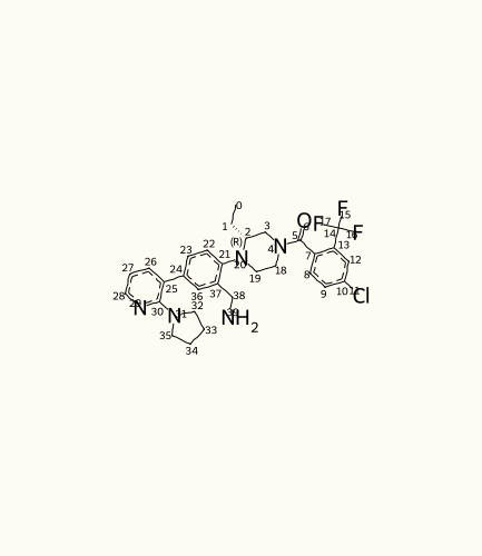 CC[C@@H]1CN(C(=O)c2ccc(Cl)cc2C(F)(F)F)CCN1c1ccc(-c2cccnc2N2CCCC2)cc1CN